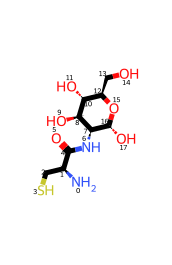 N[C@@H](CS)C(=O)N[C@@H]1[C@@H](O)[C@H](O)[C@@H](CO)O[C@@H]1O